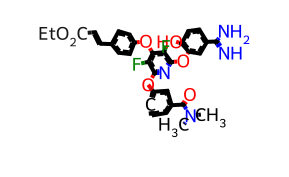 CCOC(=O)/C=C/c1ccc(Oc2c(F)c(Oc3cccc(C(=O)N(C)C)c3)nc(Oc3cc(C(=N)N)ccc3O)c2F)cc1